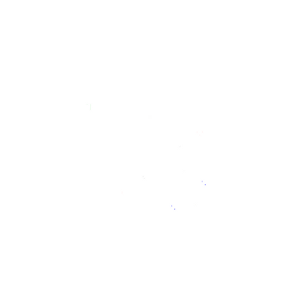 CC(Cl)c1cc2c(s1)C(=O)c1nsnc1C2=O